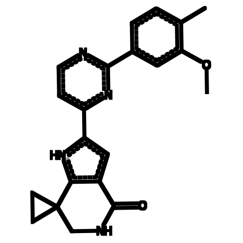 COc1cc(-c2nccc(-c3cc4c([nH]3)C3(CC3)CNC4=O)n2)ccc1C